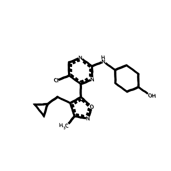 Cc1noc(-c2nc(NC3CCC(O)CC3)ncc2Cl)c1CC1CC1